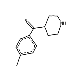 Cc1ccc(C(=S)C2CCNCC2)cc1